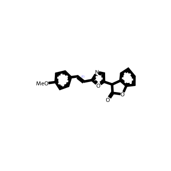 COc1ccc(/C=C/c2ncc(C3C(=O)Oc4ccccc43)o2)cc1